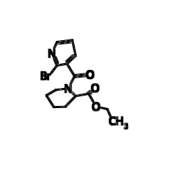 CCOC(=O)C1CCCCN1C(=O)c1cccnc1Br